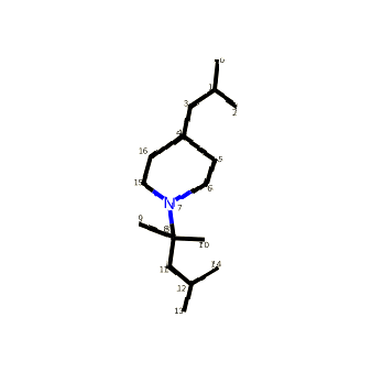 CC(C)CC1CCN(C(C)(C)CC(C)C)CC1